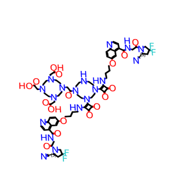 N#C[C@@H]1CC(F)(F)CN1C(=O)CNC(=O)c1ccnc2ccc(OCCCCNc3c(N4CCNCCN(C(=O)CN5CCN(CC(=O)O)CCN(CC(=O)O)CCN(CC(=O)O)CC5)CCN(c5c(NCCCCOc6ccc7nccc(C(=O)NCC(=O)N8CC(F)(F)C[C@H]8C#N)c7c6)c(=O)c5=O)CC4)c(=O)c3=O)cc12